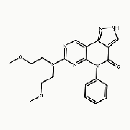 COCCN(CCOC)c1ncc2c3n[nH]cc3c(=O)n(-c3ccccc3)c2n1